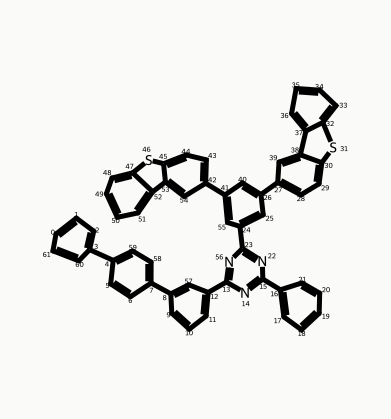 c1ccc(-c2ccc(-c3cccc(-c4nc(-c5ccccc5)nc(-c5cc(-c6ccc7sc8ccccc8c7c6)cc(-c6ccc7sc8ccccc8c7c6)c5)n4)c3)cc2)cc1